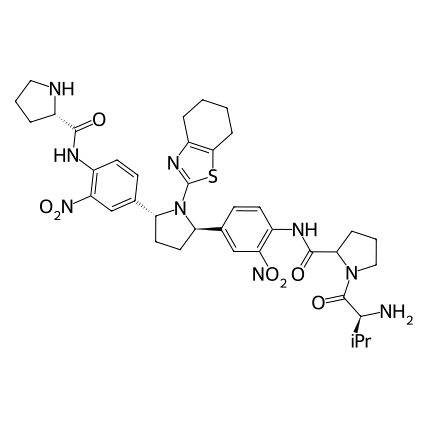 CC(C)[C@H](N)C(=O)N1CCCC1C(=O)Nc1ccc([C@H]2CC[C@H](c3ccc(NC(=O)[C@@H]4CCCN4)c([N+](=O)[O-])c3)N2c2nc3c(s2)CCCC3)cc1[N+](=O)[O-]